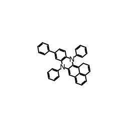 C1=Cc2cccc3cc4c(c(c23)C1)N(c1ccccc1)c1ccc(-c2ccccc2)cc1N4c1ccccc1